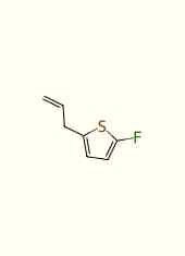 C=CCc1ccc(F)s1